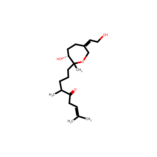 CC(C)=CCC(=O)C(C)CCCC1(C)OCC(=CCO)CC[C@H]1O